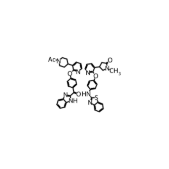 CC(=O)N1CCC(c2cccnc2Oc2ccc(C(=O)c3nc4ccccc4[nH]3)cc2)CC1.CN1CC(c2cccnc2Oc2ccc(Nc3nc4ccccc4s3)cc2)CC1=O